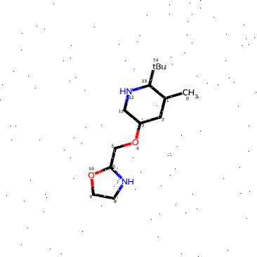 CC1CC(OCC2NCCO2)CNC1C(C)(C)C